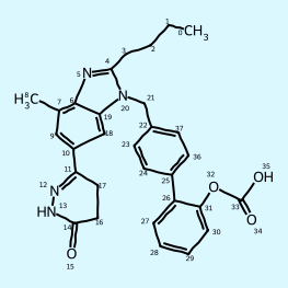 CCCCc1nc2c(C)cc(C3=NNC(=O)CC3)cc2n1Cc1ccc(-c2ccccc2OC(=O)O)cc1